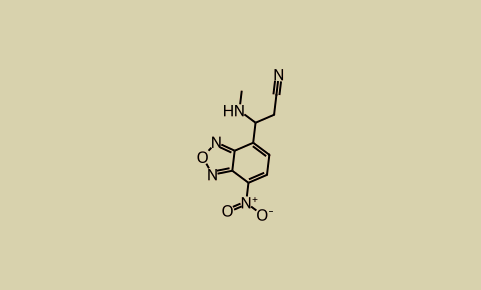 CNC(CC#N)c1ccc([N+](=O)[O-])c2nonc12